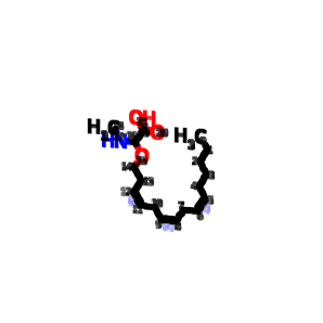 CCCCC/C=C\C/C=C\C/C=C\CCOC(NC)C(=O)O